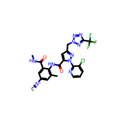 [C-]#[N+]c1cc(C)c(NC(=O)c2cc(Cn3nnc(C(F)(F)F)n3)nn2-c2ncccc2Cl)c(C(=O)NC)c1